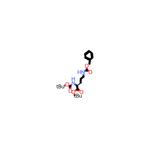 CC(C)(C)OC(=O)N[C@@H](CCCNC(=O)OCc1ccccc1)C(=O)OC(C)(C)C